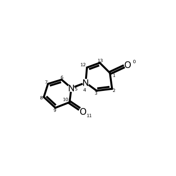 O=c1ccn(-n2ccccc2=O)cc1